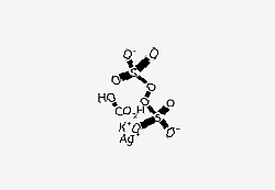 O=C(O)O.O=S(=O)([O-])OOS(=O)(=O)[O-].[Ag+].[K+]